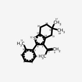 C=C(C)c1c(-c2ccccc2C)sc2c1CC(C)(C)CC2